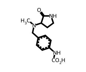 CN(Cc1ccc(NC(=O)O)cc1)C1CCNC1=O